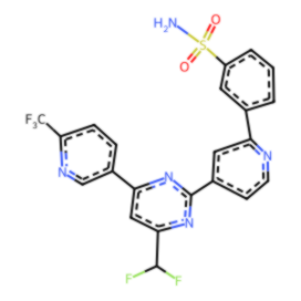 NS(=O)(=O)c1cccc(-c2cc(-c3nc(-c4ccc(C(F)(F)F)nc4)cc(C(F)F)n3)ccn2)c1